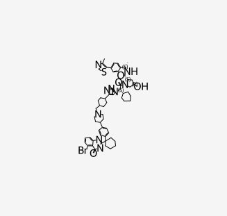 Cc1ncsc1-c1ccc([C@H](C)NC(=O)[C@@H]2C[C@@H](O)CN2C(=O)[C@H](C2CCCCC2)n2cc(C3CCC(CN4CCC(c5ccc6c(c5)-n5c(nc(=O)c7c(Br)cccc75)C65CCCCC5)CC4)CC3)nn2)cc1